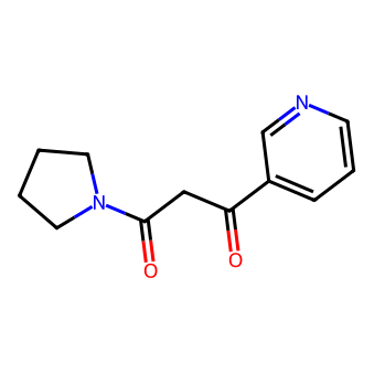 O=C(CC(=O)N1CCCC1)c1cccnc1